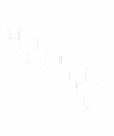 C=C1CCC2C3CCc4cc(OC(=O)c5cc(C)cc(C)c5C)ccc4C3CCC12C